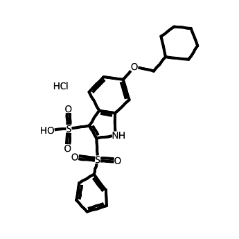 Cl.O=S(=O)(O)c1c(S(=O)(=O)c2ccccc2)[nH]c2cc(OCC3CCCCC3)ccc12